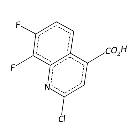 O=C(O)c1cc(Cl)nc2c(F)c(F)ccc12